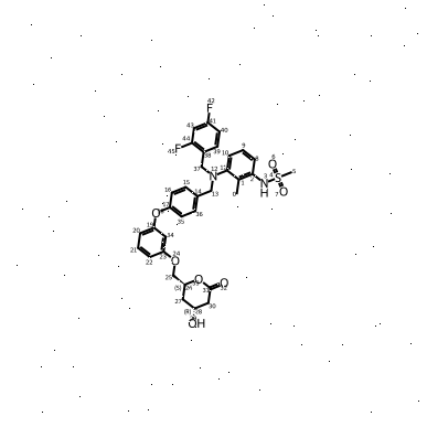 Cc1c(NS(C)(=O)=O)cccc1N(Cc1ccc(Oc2cccc(OC[C@@H]3C[C@@H](O)CC(=O)O3)c2)cc1)Cc1ccc(F)cc1F